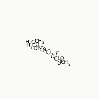 CC(C)(C)OC(=O)N1CCN([C@H]2CC[C@H](COc3ccc(S(C)(=O)=O)cc3F)CC2)CC1